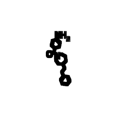 NC1=CCC(C(=O)N2CCCC(CCc3ccccc3)CC2)C=C1